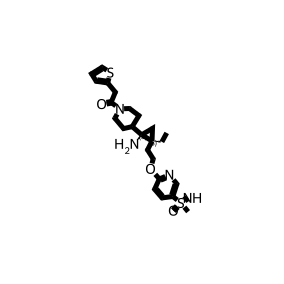 CC[C@@]1(CCOc2ccc(S(C)(=N)=O)cn2)C[C@]1(N)C1CCN(C(=O)Cc2cccs2)CC1